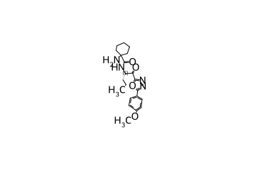 CCC[C@H](NC(=O)C1(N)CCCCC1)C(=O)c1nnc(-c2ccc(OC)cc2)o1